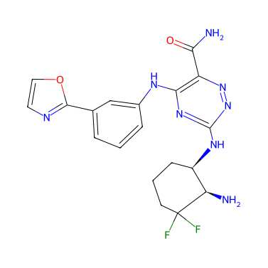 NC(=O)c1nnc(N[C@@H]2CCCC(F)(F)[C@@H]2N)nc1Nc1cccc(-c2ncco2)c1